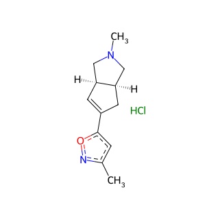 Cc1cc(C2=C[C@H]3CN(C)C[C@H]3C2)on1.Cl